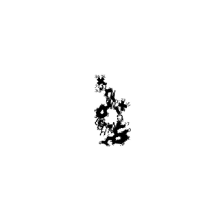 Cc1cccc(CC(C)C)c1-c1nc2nc(c1C)OC[C@@H](CC(C)(C)C)N(Cc1ncc(N(C)CC(C)(C)C)cn1)C(=O)c1cccc(c1)S(=O)(=O)N2